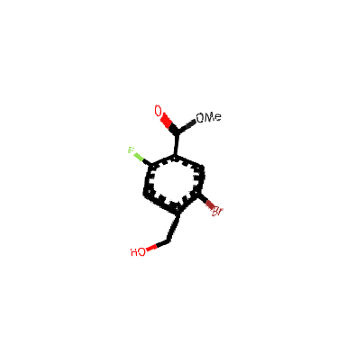 COC(=O)c1cc(Br)c(CO)cc1F